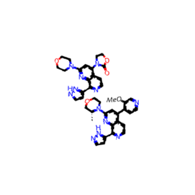 COc1cnccc1-c1cc(N2CCOC[C@H]2C)nc2c(-c3ccn[nH]3)nccc12.O=C1OCCN1c1cc(N2CCOCC2)nc2c(-c3ccn[nH]3)nccc12